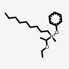 CCCCCCCCC[N+](C)(Oc1ccccc1)C(C)OCC